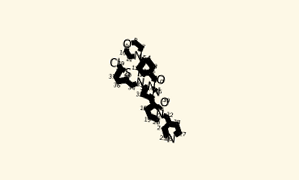 O=C(c1ccc(N2CCOCC2)cc1)n1nc(-c2cccn(Cc3ccncc3)c2=O)cc1NCc1ccc(Cl)s1